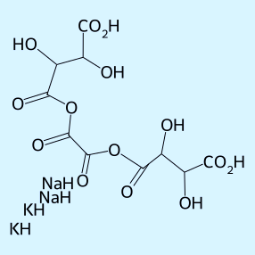 O=C(OC(=O)C(O)C(O)C(=O)O)C(=O)OC(=O)C(O)C(O)C(=O)O.[KH].[KH].[NaH].[NaH]